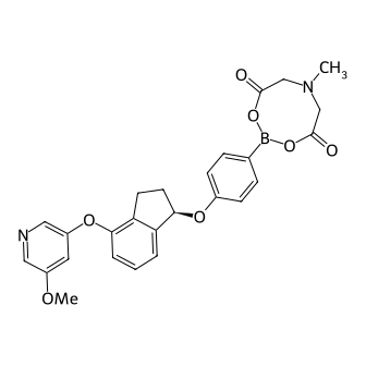 COc1cncc(Oc2cccc3c2CC[C@H]3Oc2ccc(B3OC(=O)CN(C)CC(=O)O3)cc2)c1